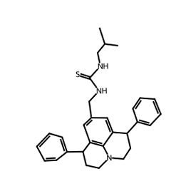 CC(C)CNC(=S)NCc1cc2c3c(c1)C(c1ccccc1)CCN3CCC2c1ccccc1